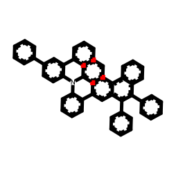 c1ccc(-c2ccc(N(c3ccccc3)c3ccccc3-c3ccc4c(c3)c(-c3ccccc3)c(-c3ccccc3)c3ccccc34)c(-c3ccccc3)c2)cc1